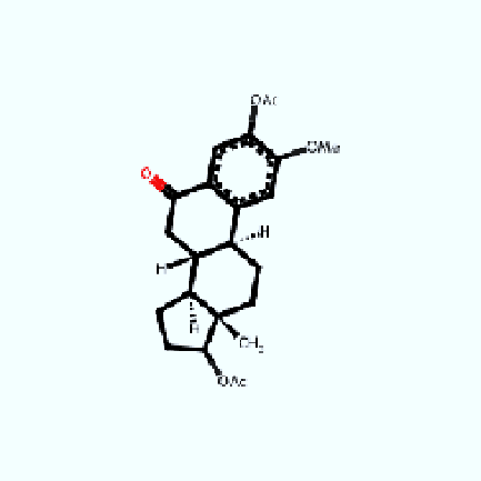 COc1cc2c(cc1OC(C)=O)C(=O)C[C@@H]1[C@@H]2CC[C@]2(C)C(OC(C)=O)CC[C@@H]12